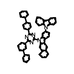 c1ccc(-c2ccc(-c3nc(-c4cccc(-c5ccccc5)c4)nc(-n4c5cc(-n6c7ccccc7c7ccccc76)ccc5c5cc6ccccc6cc54)n3)cc2)cc1